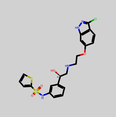 O=S(=O)(Nc1cccc([C@@H](O)CNCCOc2ccc3c(Cl)n[nH]c3c2)c1)c1cccs1